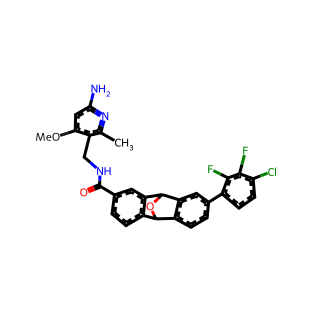 COc1cc(N)nc(C)c1CNC(=O)c1ccc2c(c1)C1OC2c2ccc(-c3ccc(Cl)c(F)c3F)cc21